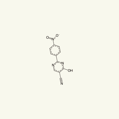 N#Cc1cnc(-c2ccc([N+](=O)[O-])cc2)nc1O